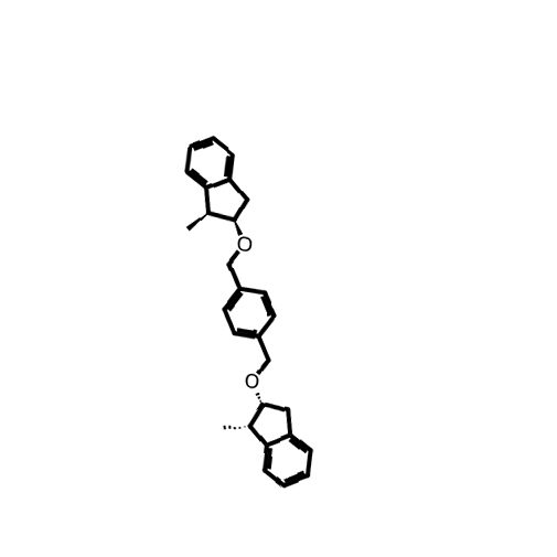 C[C@H]1c2ccccc2C[C@H]1OCc1ccc(CO[C@@H]2Cc3ccccc3[C@@H]2C)cc1